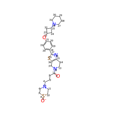 O=C(CCCN1CC[S+]([O-])CC1)N1CCc2nc(-c3ccc(OC4CC(N5CCCCC5)C4)cc3)sc2C1